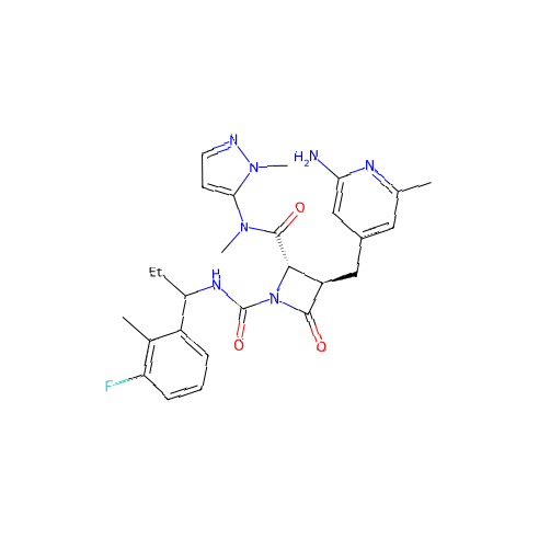 CCC(NC(=O)N1C(=O)[C@H](Cc2cc(C)nc(N)c2)[C@H]1C(=O)N(C)c1ccnn1C)c1cccc(F)c1C